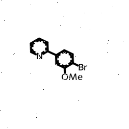 COc1cc(-c2ccccn2)ccc1Br